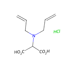 C=CCN(CC=C)C(C(=O)O)C(=O)O.Cl